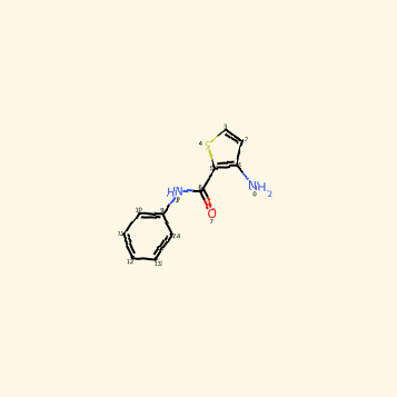 Nc1ccsc1C(=O)Nc1ccccc1